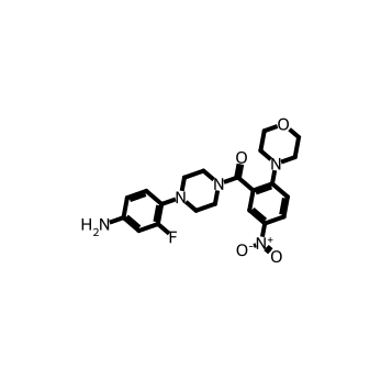 Nc1ccc(N2CCN(C(=O)c3cc([N+](=O)[O-])ccc3N3CCOCC3)CC2)c(F)c1